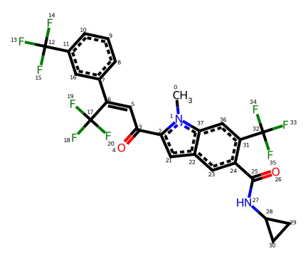 Cn1c(C(=O)C=C(c2cccc(C(F)(F)F)c2)C(F)(F)F)cc2cc(C(=O)NC3CC3)c(C(F)(F)F)cc21